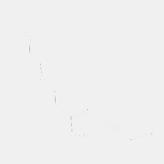 CCOCCOCCC(=CC#CCBr)C(=O)O